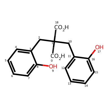 O=C(O)C(Cc1ccccc1O)(Cc1ccccc1O)C(=O)O